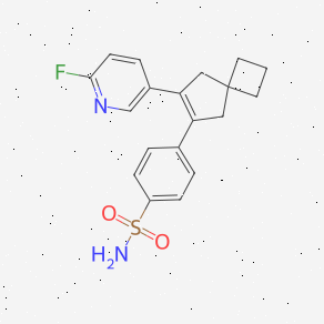 NS(=O)(=O)c1ccc(C2=C(c3ccc(F)nc3)CC3(CCC3)C2)cc1